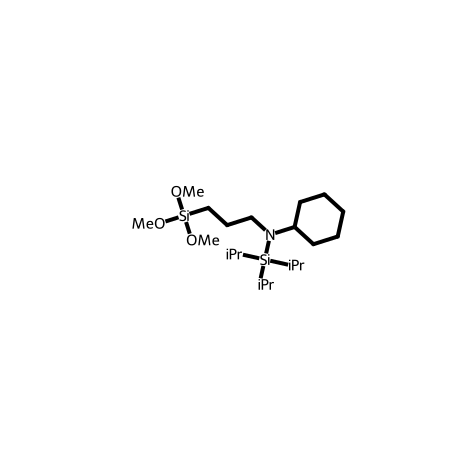 CO[Si](CCCN(C1CCCCC1)[Si](C(C)C)(C(C)C)C(C)C)(OC)OC